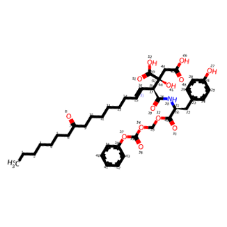 CCCCCCCC(=O)CCCCCC/C=C/[C@H](C(=O)N[C@@H](Cc1ccc(O)cc1)C(=O)OCOC(=O)Oc1ccccc1)[C@@](O)(CC(=O)O)C(=O)O